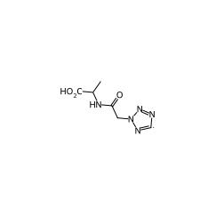 CC(NC(=O)Cn1n[c]nn1)C(=O)O